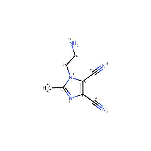 Cc1nc(C#N)c(C#N)n1CCN